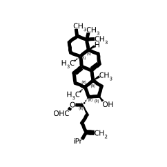 C=C(CC[C@@H](OC=O)[C@H]1[C@H](O)C[C@@]2(C)C3=CC[C@H]4C(C)(C)C(C)CC[C@]4(C)C3=CC[C@]12C)C(C)C